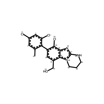 Cc1cc(Cl)cc(Cl)c1-c1cc(CO)c2c(nc3n2CCCN3)c1Cl